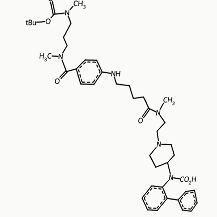 CN(CCN1CCC(N(C(=O)O)c2ccccc2-c2ccccc2)CC1)C(=O)CCCCNc1ccc(C(=O)N(C)CCCN(C)C(=O)OC(C)(C)C)cc1